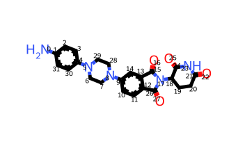 Nc1ccc(N2CCN(c3ccc4c(c3)C(=O)N(C3CCC(=O)NC3=O)C4=O)CC2)cc1